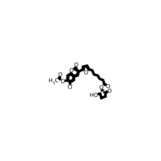 CC(=O)Oc1cc2oc(=O)c(-c3ccc(CCCCCC(=O)ON4C(=O)CCC4O)o3)cc2cc1Cl